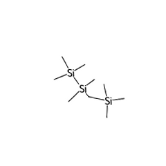 C[Si](C)(C)C[Si](C)(C)[Si](C)(C)C